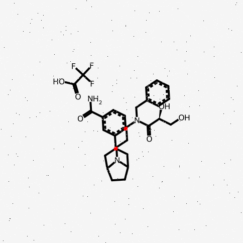 NC(=O)c1cccc(C2CC3CCC(C2)N3CCCN(Cc2ccccc2)C(=O)[C@@H](O)CO)c1.O=C(O)C(F)(F)F